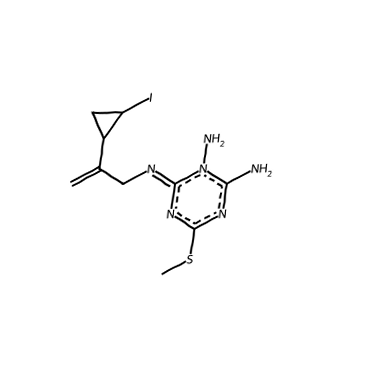 C=C(C/N=c1\nc(SC)nc(N)n1N)C1CC1I